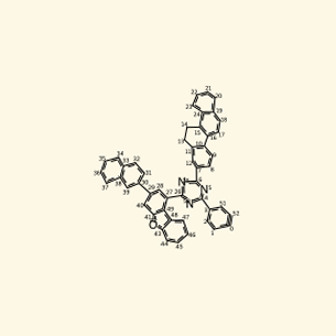 c1ccc(-c2nc(-c3ccc4c(c3)CCc3c-4ccc4ccccc34)nc(-c3cc(-c4ccc5ccccc5c4)cc4oc5ccccc5c34)n2)cc#1